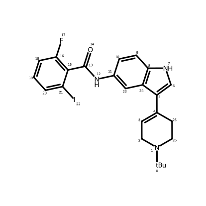 CC(C)(C)N1CC=C(c2c[nH]c3ccc(NC(=O)c4c(F)cccc4I)cc23)CC1